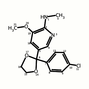 CNc1ncc(C2(c3ccc(Cl)cc3)OCCO2)cc1OC